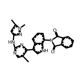 Cc1cnc(Nc2cc(C)n(C)n2)nc1-c1c[nH]c2c(N3C(=O)c4ccccc4C3=O)cccc12